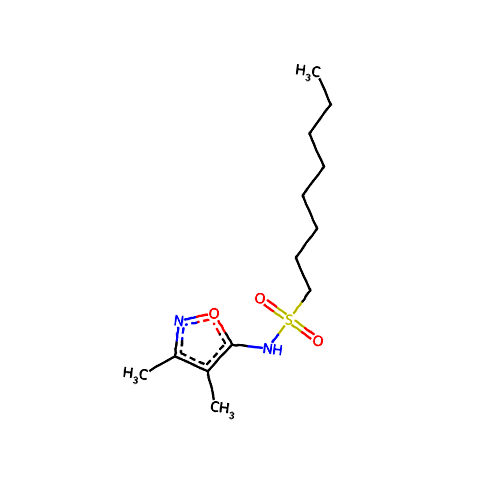 CCCCCCCCS(=O)(=O)Nc1onc(C)c1C